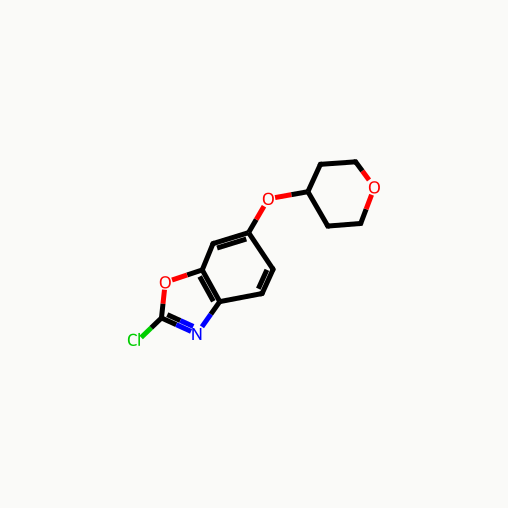 Clc1nc2ccc(OC3CCOCC3)cc2o1